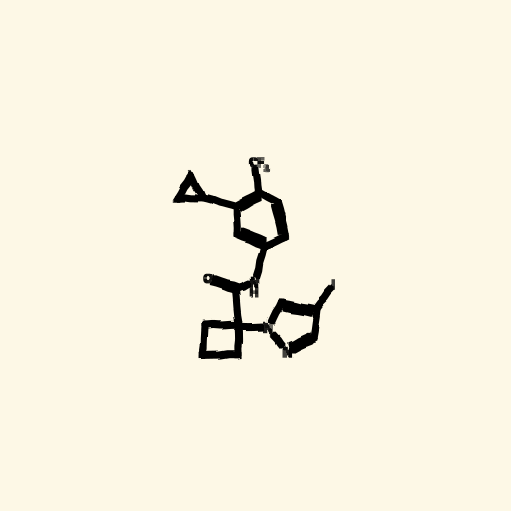 O=C(Nc1ccc(C(F)(F)F)c(C2CC2)c1)C1(n2cc(I)cn2)CCC1